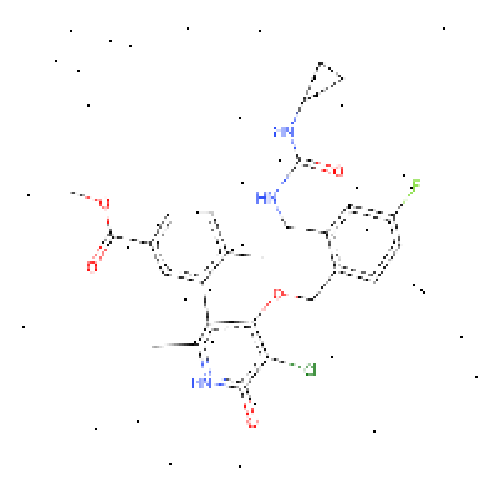 COC(=O)c1ccc(C)c(-c2c(C)[nH]c(=O)c(Cl)c2OCc2ccc(F)cc2CNC(=O)NC2CC2)c1